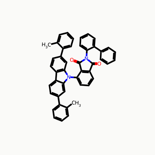 Cc1ccccc1-c1ccc2c3ccc(-c4ccccc4C)cc3n(-c3cccc4c3C(=O)N(c3ccccc3-c3ccccc3)C4=O)c2c1